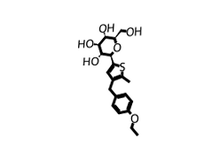 CCOc1ccc(Cc2cc([C@@H]3O[C@H](CO)[C@@H](O)[C@H](O)[C@H]3O)sc2C)cc1